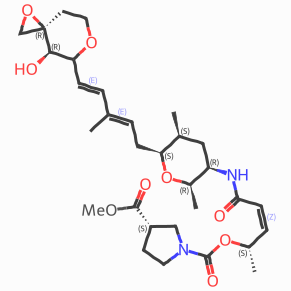 COC(=O)[C@H]1CCN(C(=O)O[C@@H](C)/C=C\C(=O)N[C@@H]2C[C@H](C)[C@H](C/C=C(C)/C=C/C3OCC[C@@]4(CO4)[C@@H]3O)O[C@@H]2C)C1